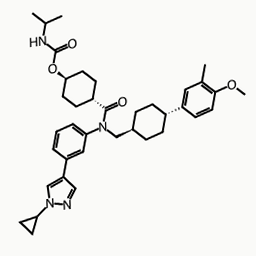 COc1ccc([C@H]2CC[C@H](CN(c3cccc(-c4cnn(C5CC5)c4)c3)C(=O)[C@H]3CC[C@H](OC(=O)NC(C)C)CC3)CC2)cc1C